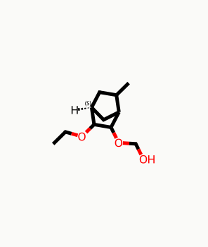 CCOC1C(OCO)C2C[C@@H]1CC2C